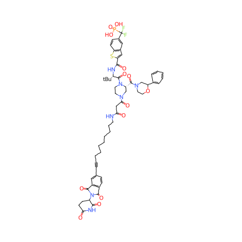 CC(C)(C)[C@H](NC(=O)c1cc2cc(C(F)(F)P(=O)(O)O)ccc2s1)C(=O)N1CCN(C(=O)CC(=O)NCCCCCCCCC#Cc2ccc3c(c2)C(=O)N(C2CCC(=O)NC2=O)C3=O)C[C@H]1C(=O)N1CCOC(c2ccccc2)C1